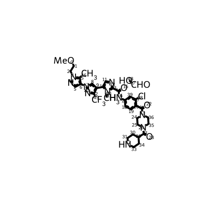 COCCn1ncc(-n2cc(-c3cnc(C(=O)Nc4ccc(C(=O)N5CCN(C(=O)C6CCNCC6)CC5)c(Cl)c4)n3C)c(C(F)(F)F)n2)c1C.O=CO